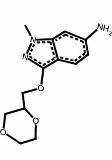 Cn1nc(OCC2COCCO2)c2ccc(N)cc21